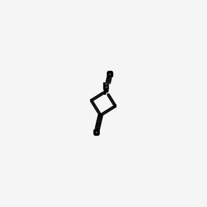 O=C1C[PH](=O)C1